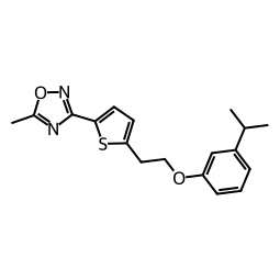 Cc1nc(-c2ccc(CCOc3cccc(C(C)C)c3)s2)no1